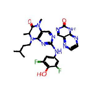 CC(C)CCN1c2nc(Nc3cc(F)c(O)c(F)c3)ncc2N(C)C(=O)C1C.O=c1ncc2nccnc2[nH]1